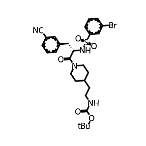 CC(C)(C)OC(=O)NCCC1CCN(C(=O)[C@H](Cc2cccc(C#N)c2)NS(=O)(=O)c2cccc(Br)c2)CC1